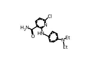 CCN(CC)c1ccc(Nc2nc(Cl)ccc2C(N)=O)cc1